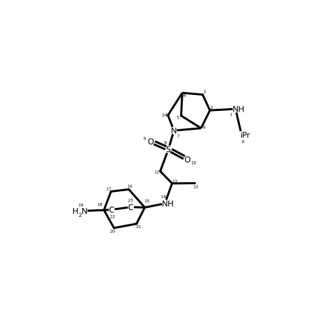 CC(C)NC1CC2CC1N(S(=O)(=O)CC(C)NC13CCC(N)(CC1)CC3)C2